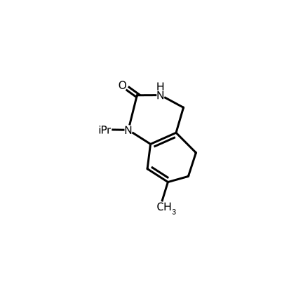 CC1=CC2=C(CC1)CNC(=O)N2C(C)C